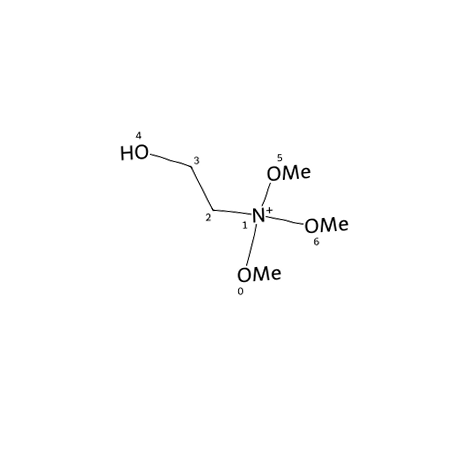 CO[N+](CCO)(OC)OC